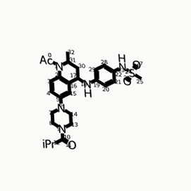 CC(=O)N1c2ccc(N3CCN(C(=O)C(C)C)CC3)cc2C(Nc2ccc(NS(C)(=O)=O)cc2)CC1C